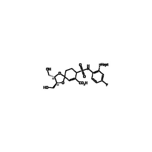 CCCCCCCc1cc(F)ccc1NS(=O)(=O)C1CCC2(C=C1C(=O)O)O[C@@H](CO)[C@H](CO)O2